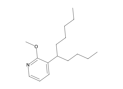 CCCCCC(CCCC)c1cccnc1OC